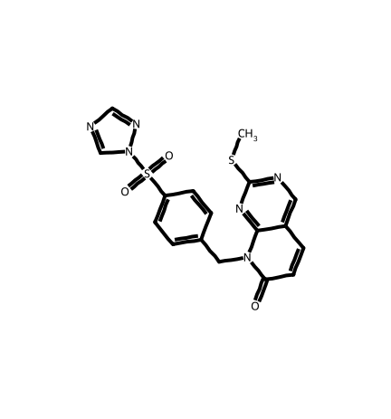 CSc1ncc2ccc(=O)n(Cc3ccc(S(=O)(=O)n4cncn4)cc3)c2n1